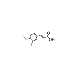 CCc1ccc(C=CC(=O)O)cc1I